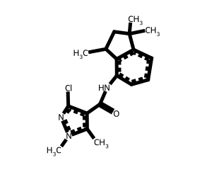 Cc1c(C(=O)Nc2cccc3c2C(C)CC3(C)C)c(Cl)nn1C